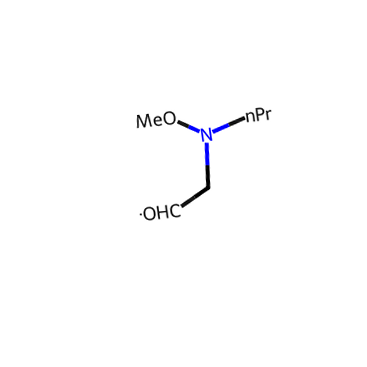 CCCN(C[C]=O)OC